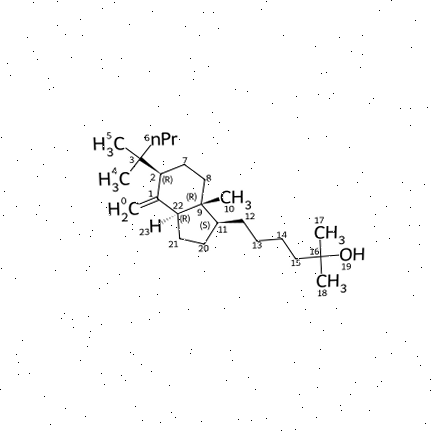 C=C1[C@@H](C(C)(C)CCC)CC[C@]2(C)[C@@H](CCCCC(C)(C)O)CC[C@@H]12